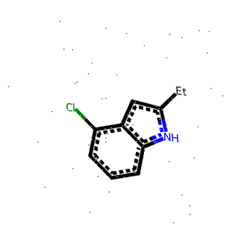 [CH2]Cc1cc2c(Cl)cccc2[nH]1